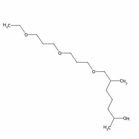 CCOCCCOCCCOCC(C)CCCC(C)O